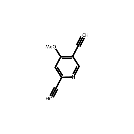 C#Cc1cc(OC)c(C#C)cn1